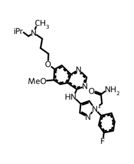 COc1cc2c(NC3=C[N+](CC(N)=O)(c4cccc(F)c4)N=C3)ncnc2cc1OCCCN(C)CC(C)C